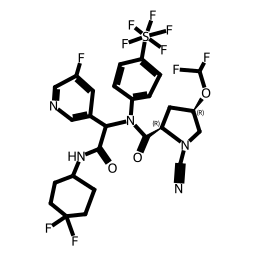 N#CN1C[C@H](OC(F)F)C[C@@H]1C(=O)N(c1ccc(S(F)(F)(F)(F)F)cc1)C(C(=O)NC1CCC(F)(F)CC1)c1cncc(F)c1